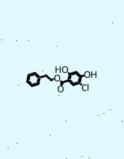 O=C(OCCc1ccccc1)c1cc(Cl)c(O)cc1O